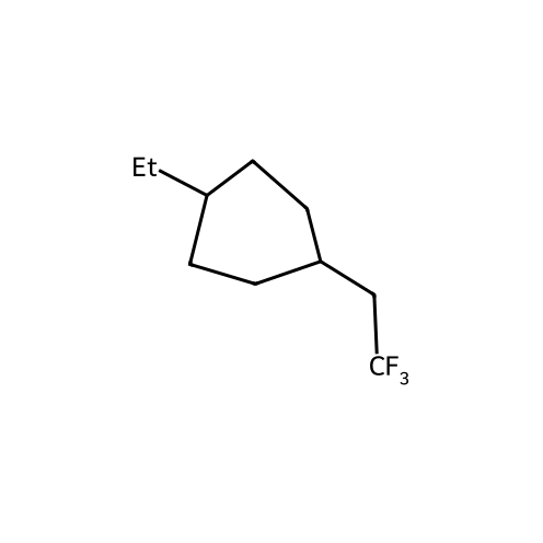 CCC1CCC(CC(F)(F)F)CC1